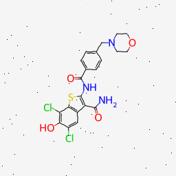 NC(=O)c1c(NC(=O)c2ccc(CN3CCOCC3)cc2)sc2c(Cl)c(O)c(Cl)cc12